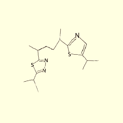 CC(C)c1cnc(C(C)CCC(C)c2nnc(C(C)C)s2)s1